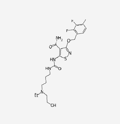 CCN(CCO)CCCCNC(=O)Nc1snc(OCc2ccc(C)c(F)c2F)c1C(N)=O